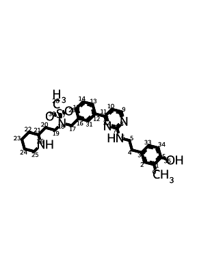 Cc1cc(CCNc2nccc(-c3cccc(CN(CCC4CCCCN4)S(C)(=O)=O)c3)n2)ccc1O